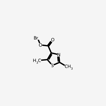 Cc1nc(C(=O)OBr)c(C)s1